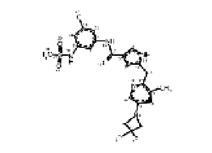 Cc1cc(N2CC(F)(F)C2)cnc1Cc1cc(C(=O)Nc2cc(Cl)cc(NS(C)(=O)=O)c2)c[nH]1